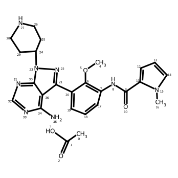 CC(=O)O.COc1c(NC(=O)c2cccn2C)cccc1-c1nn(C2CCNCC2)c2ncnc(N)c12